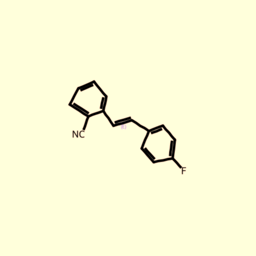 N#Cc1ccccc1/C=C/c1ccc(F)cc1